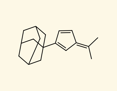 CC(C)=C1C=CC(C23CC4CC(CC(C4)C2)C3)=C1